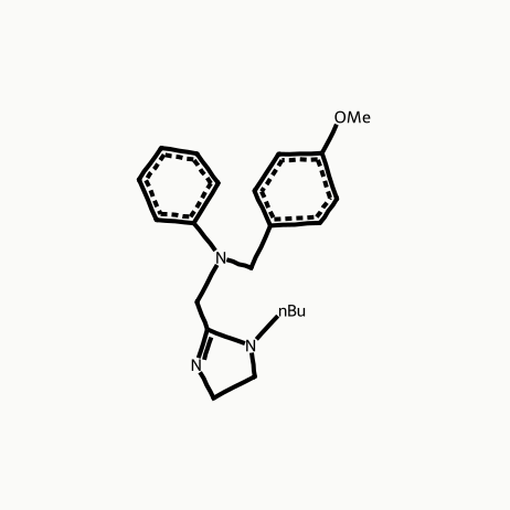 CCCCN1CCN=C1CN(Cc1ccc(OC)cc1)c1ccccc1